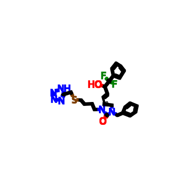 O=C1N(Cc2ccccc2)C[C@H](C=CC(O)C(F)(F)c2ccccc2)N1CCCCSCc1nnn[nH]1